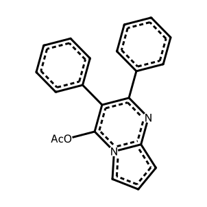 CC(=O)Oc1c(-c2ccccc2)c(-c2ccccc2)nc2cccn12